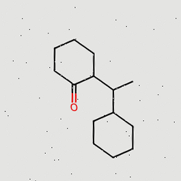 CC(C1CCCCC1)C1CCCCC1=O